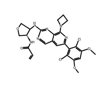 C=CC(=O)N[C@H]1COCC1Nc1ncc2cc(-c3c(Cl)c(OC)cc(OC)c3Cl)nc(N3CCC3)c2n1